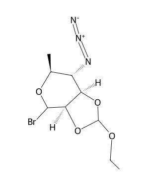 CCOC1O[C@@H]2[C@@H](N=[N+]=[N-])[C@H](C)OC(Br)[C@@H]2O1